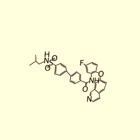 CC(C)CNS(=O)(=O)c1ccc(-c2ccc(C(=O)Nc3cc(F)ccc3Oc3ccc4ccncc4c3)cc2)cc1